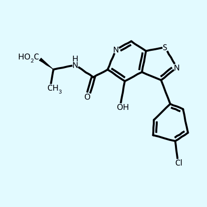 C[C@H](NC(=O)c1ncc2snc(-c3ccc(Cl)cc3)c2c1O)C(=O)O